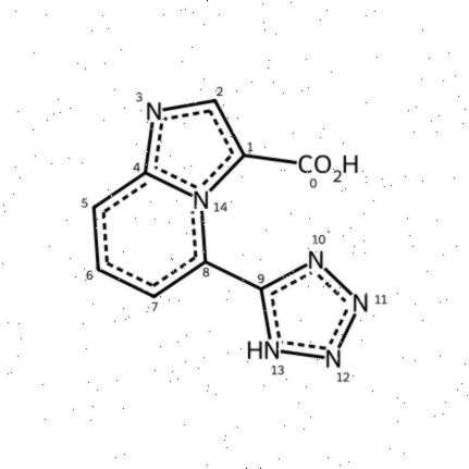 O=C(O)c1cnc2cccc(-c3nnn[nH]3)n12